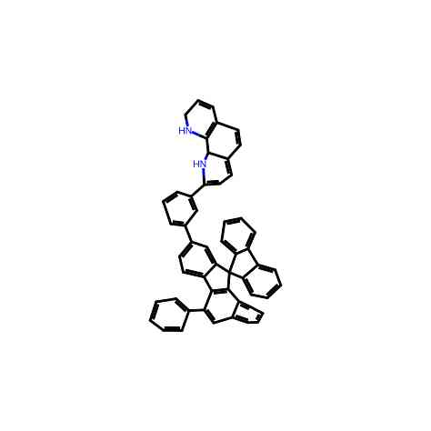 C1=CC2=C(NC1)C1NC(c3cccc(-c4ccc5c(c4)C4(c6ccccc6-c6ccccc64)c4c-5c(-c5ccccc5)cc5ccccc45)c3)=CC=C1C=C2